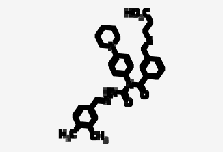 Cc1ccc(C=NNC(=O)N(C(=O)c2cccc(CSCCC(=O)O)c2)c2ccc(N3CCCCC3)cc2)cc1C